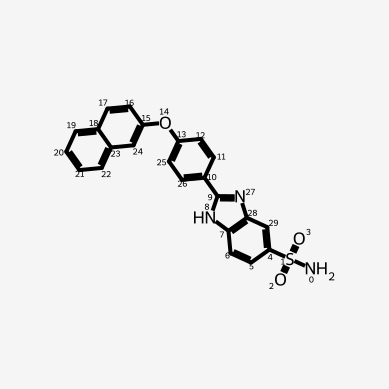 NS(=O)(=O)c1ccc2[nH]c(-c3ccc(Oc4ccc5ccccc5c4)cc3)nc2c1